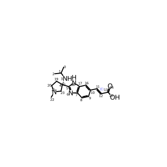 CC(C)N[C@@]1(c2nc3ccc(/C=C/C(=O)O)cc3[nH]2)CCN(C)C1